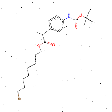 CC(C(=O)OCCCCCCCCBr)c1ccc(NC(=O)OC(C)(C)C)cc1